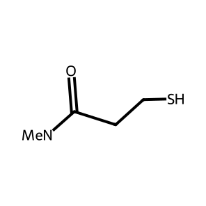 CNC(=O)CCS